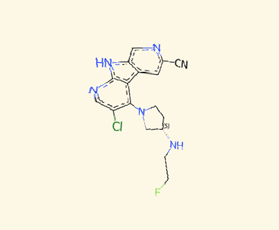 N#Cc1cc2c(cn1)[nH]c1ncc(Cl)c(N3CC[C@H](NCCF)C3)c12